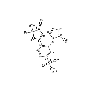 CCC1(C)OC(c2ccc(S(C)(=O)=O)cc2)=C(c2ccc(C(C)=O)s2)C1=O